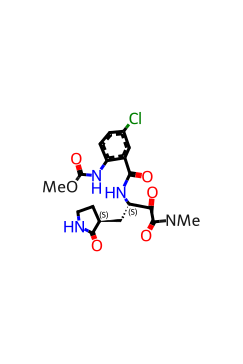 CNC(=O)C(=O)[C@H](C[C@@H]1CCNC1=O)NC(=O)c1cc(Cl)ccc1NC(=O)OC